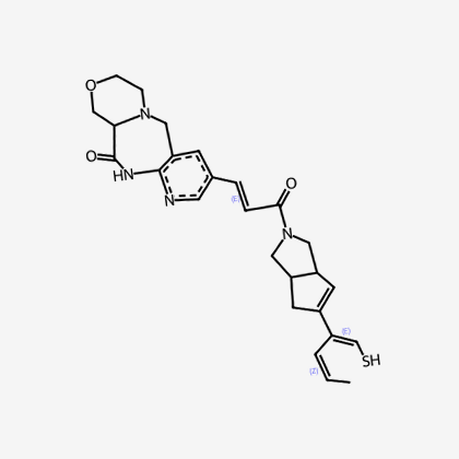 C/C=C\C(=C/S)C1=CC2CN(C(=O)/C=C/c3cnc4c(c3)CN3CCOCC3C(=O)N4)CC2C1